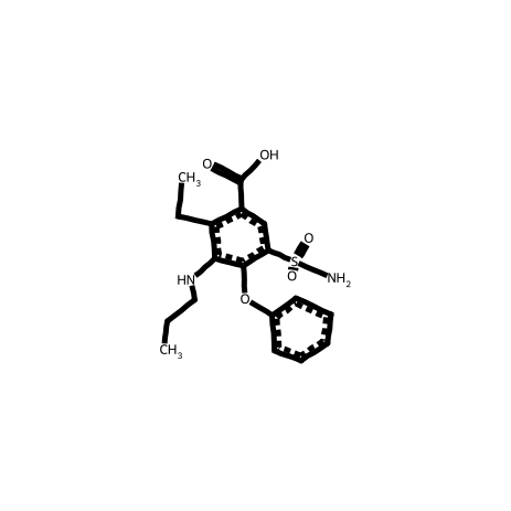 CCCNc1c(CC)c(C(=O)O)cc(S(N)(=O)=O)c1Oc1ccccc1